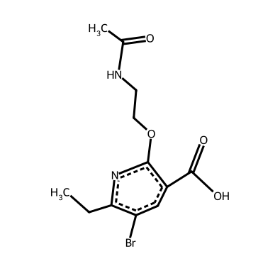 CCc1nc(OCCNC(C)=O)c(C(=O)O)cc1Br